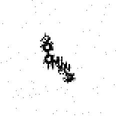 C[Si](C)(C)c1ccc(-c2cccc(C(=O)Nc3nnc(-c4ccco4)o3)c2)cc1